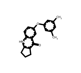 Cc1cc(C)cc(Oc2ccc3[nH]c4c(c(=O)c3c2)CCC4)c1